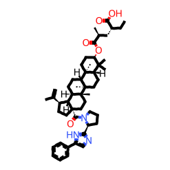 C=C(C)[C@@H]1CC[C@]2(C(=O)N3CCC[C@H]3c3ncc(-c4ccccc4)[nH]3)CC[C@]3(C)[C@H](CC[C@@H]4[C@@]5(C)CC[C@H](OC(=O)[C@@H](C)C[C@@H](CC)C(=O)O)C(C)(C)[C@@H]5CC[C@]43C)[C@@H]12